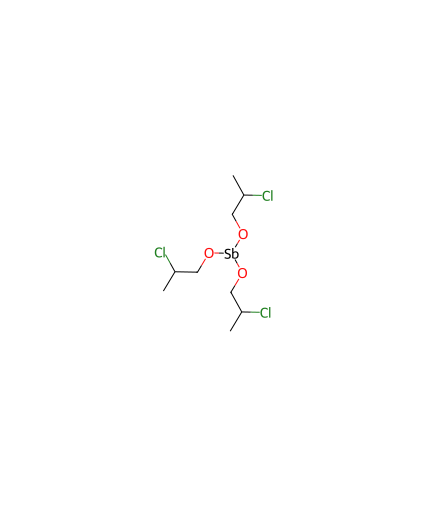 CC(Cl)C[O][Sb]([O]CC(C)Cl)[O]CC(C)Cl